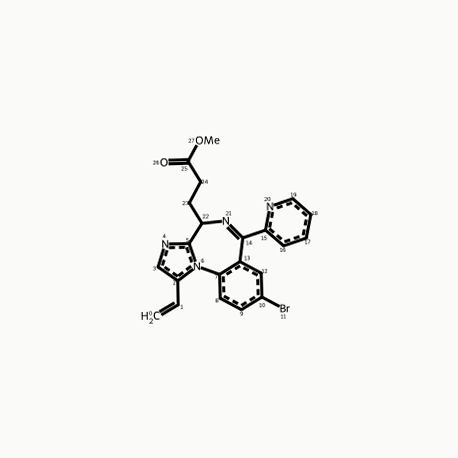 C=Cc1cnc2n1-c1ccc(Br)cc1C(c1ccccn1)=NC2CCC(=O)OC